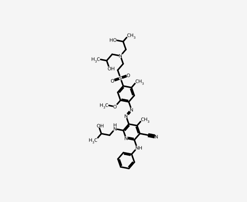 COc1cc(S(=O)(=O)CCN(CC(C)O)CC(C)O)c(C)cc1/N=N/c1c(NCC(C)O)nc(Nc2ccccc2)c(C#N)c1C